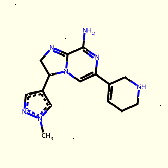 Cn1cc(C2CN=C3C(N)=NC(C4=CCCNC4)=CN32)cn1